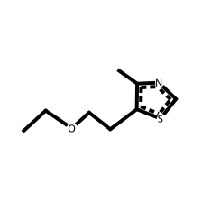 CCOCCc1s[c]nc1C